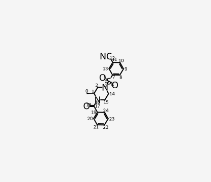 C[C@H]1CN(S(=O)(=O)c2cccc(C#N)c2)CCN1C(=O)c1ccccc1